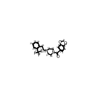 O=C(c1ccc2c(c1)OCO2)N1CCN(CCc2ccccc2C(F)(F)F)CC1